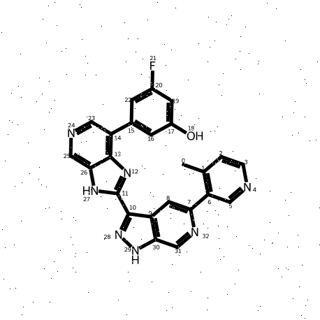 Cc1ccncc1-c1cc2c(-c3nc4c(-c5cc(O)cc(F)c5)cncc4[nH]3)n[nH]c2cn1